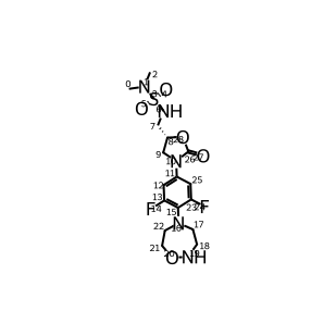 CN(C)S(=O)(=O)NC[C@H]1CN(c2cc(F)c(N3CCNOCC3)c(F)c2)C(=O)O1